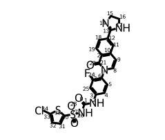 O=C(Nc1ccc(-n2ccc3cc(C4=NCCN4)ccc3c2=O)c(F)c1)NS(=O)(=O)c1ccc(Cl)s1